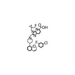 O=C(O)c1ccc2nc(CN3CCC(c4cccc5c4O[C@H](c4ccc(Cl)cc4F)C=C5)CC3)n(CC3(CF)CC3)c2n1